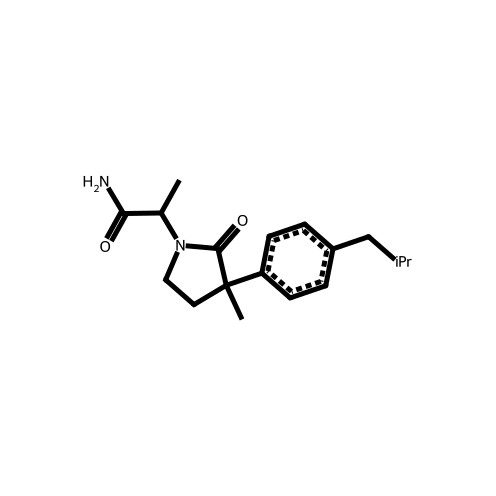 CC(C)Cc1ccc(C2(C)CCN(C(C)C(N)=O)C2=O)cc1